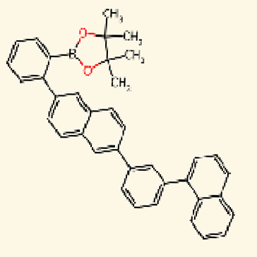 CC1(C)OB(c2ccccc2-c2ccc3cc(-c4cccc(-c5cccc6ccccc56)c4)ccc3c2)OC1(C)C